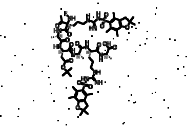 CC(=O)[C@@](CCCNC(=N)NS(=O)(=O)c1c(C)c(C)c2c(c1C)CC(C)(C)O2)(NF)C(=O)N[C@@H](C)C(=O)N[C@@H](CC(=O)OC(C)(C)C)C(=O)N[C@@H](C)C(=O)N[C@@H](CCCNC(=N)NS(=O)(=O)c1c(C)c(C)c2c(c1C)CC(C)(C)O2)C(=O)N[C@@H](C)C(=O)O